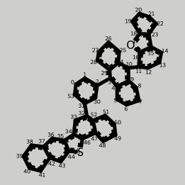 c1cc(-c2c3ccccc3c(-c3cccc4c3oc3ccccc34)c3ccccc23)cc(-c2cc3c4cc5ccccc5cc4sc3c3ccccc23)c1